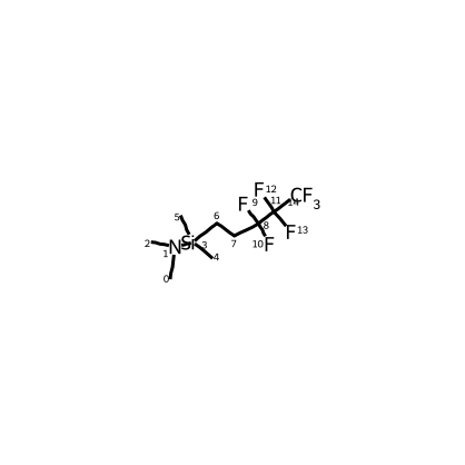 CN(C)[Si](C)(C)CCC(F)(F)C(F)(F)C(F)(F)F